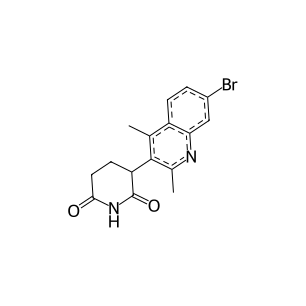 Cc1nc2cc(Br)ccc2c(C)c1C1CCC(=O)NC1=O